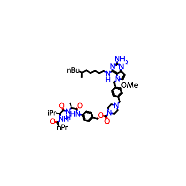 CCCCC(C)CCCCCNc1nc(N)nc2ccn(Cc3ccc(CN4CCN(C(=O)OCc5ccc(NC(=O)[C@H](C)NC(=O)[C@@H](NC(=O)CCC)C(C)C)cc5)CC4)cc3OC)c12